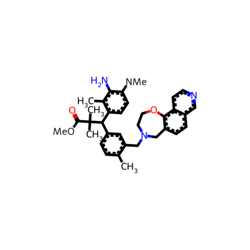 CNc1ccc(C(c2ccc(C)c(CN3CCOc4c(ccc5cnccc45)C3)c2)C(C)(C)C(=O)OC)c(C)c1N